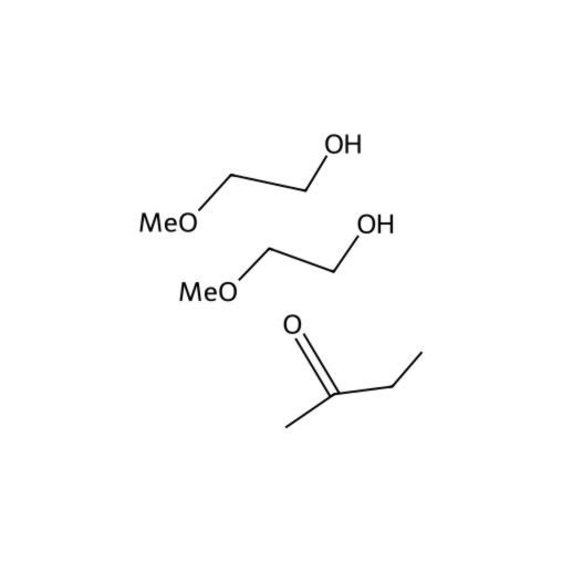 CCC(C)=O.COCCO.COCCO